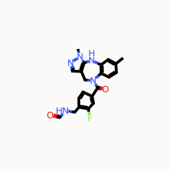 Cc1ccc2c(c1)Nc1c(cnn1C)CN2C(=O)c1ccc(CNC=O)c(F)c1